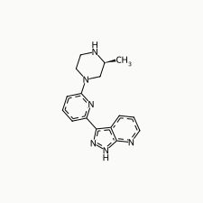 C[C@H]1CN(c2cccc(-c3n[nH]c4ncccc34)n2)CCN1